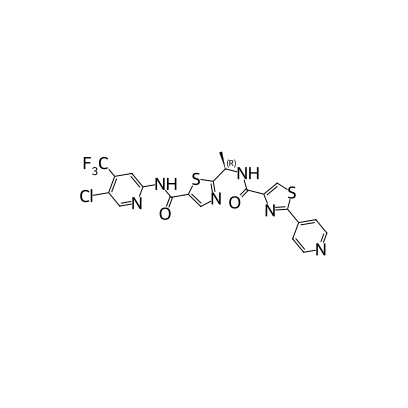 C[C@@H](NC(=O)c1csc(-c2ccncc2)n1)c1ncc(C(=O)Nc2cc(C(F)(F)F)c(Cl)cn2)s1